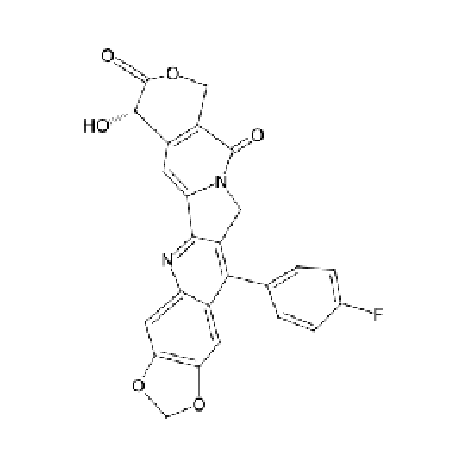 O=C1OCc2c(cc3n(c2=O)Cc2c-3nc3cc4c(cc3c2-c2ccc(F)cc2)OCO4)[C@@H]1O